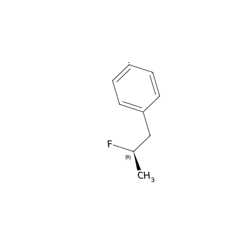 C[C@@H](F)Cc1cc[c]cc1